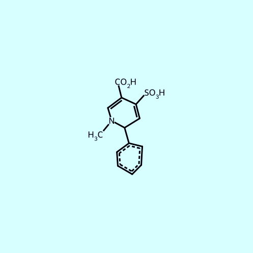 CN1C=C(C(=O)O)C(S(=O)(=O)O)=CC1c1ccccc1